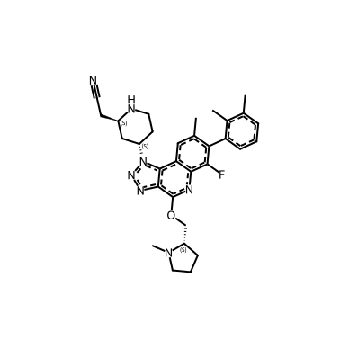 Cc1cccc(-c2c(C)cc3c(nc(OC[C@@H]4CCCN4C)c4nnn([C@H]5CCN[C@H](CC#N)C5)c43)c2F)c1C